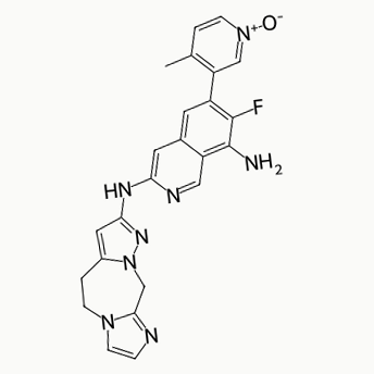 Cc1cc[n+]([O-])cc1-c1cc2cc(Nc3cc4n(n3)Cc3nccn3CC4)ncc2c(N)c1F